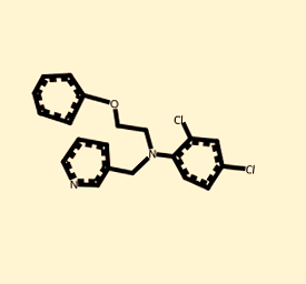 Clc1ccc(N(CCOc2ccccc2)Cc2cccnc2)c(Cl)c1